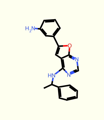 CC(Nc1ncnc2oc(-c3cccc(N)c3)cc12)c1ccccc1